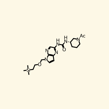 CC(=O)N1CCC[C@H](NC(=O)Nc2cnc3c(ccn3COCC[Si](C)(C)C)n2)C1